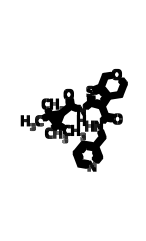 CC1(C)C(C(=O)Nc2sc3c(c2C(=O)NCc2cccnc2)CCOC3)C1(C)C